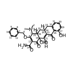 CN(C)[C@@H]1C(OCc2ccccc2)=C(C(N)=O)C(=O)C2(O)C(O)=C3C(=O)c4c(O)cccc4C[C@H]3C[C@@H]12